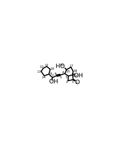 O=C1CC2C(C#CC(O)C3CCCCC3)C(O)CCC12O